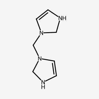 C1=CN(CN2C=CNC2)CN1